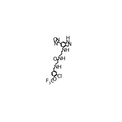 O=C(CCNCc1ccc(OC(F)(F)F)c(Cl)c1)NCCCNc1cc(-c2ncon2)cc2[nH]ncc12